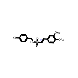 CC(=O)Oc1ccc(/C=C/S(=O)(=O)NCc2ccc(Cl)cc2)cc1OC(C)=O